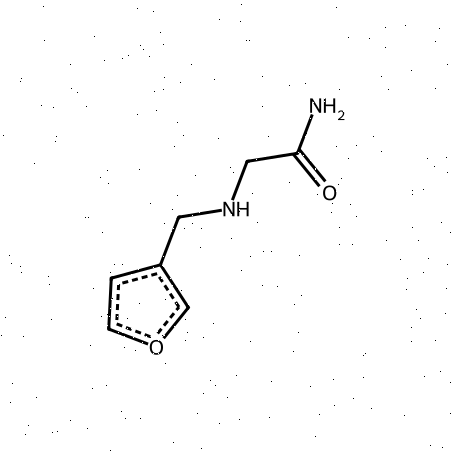 NC(=O)CNCc1ccoc1